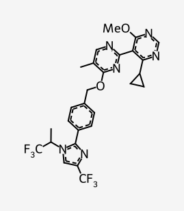 COc1ncnc(C2CC2)c1-c1ncc(C)c(OCc2ccc(-c3nc(C(F)(F)F)cn3C(C)C(F)(F)F)cc2)n1